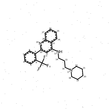 FC(F)(F)c1ccccc1-c1cc(NCCCN2CCCCC2)c2ccccc2n1